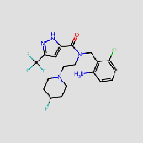 Nc1cccc(Cl)c1CN(CCN1CCC(F)CC1)C(=O)c1cc(C(F)(F)F)n[nH]1